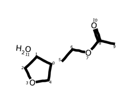 C1CCOC1.CCOC(C)=O.O